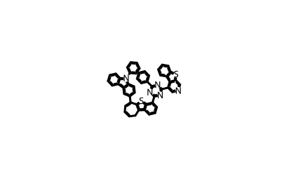 C1=CCc2c(sc3c(-c4nc(-c5ccccc5)nc(-c5cncc6sc7ccccc7c56)n4)cccc23)C(c2ccc3c(c2)c2ccccc2n3-c2ccccc2)=C1